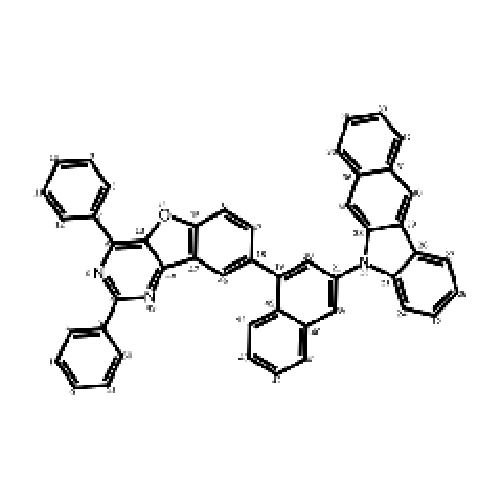 c1ccc(-c2nc(-c3ccccc3)c3oc4ccc(-c5cc(-n6c7ccccc7c7cc8ccccc8cc76)cc6ccccc56)cc4c3n2)cc1